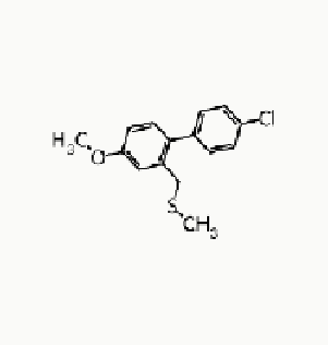 COc1ccc(-c2ccc(Cl)cc2)c(CSC)c1